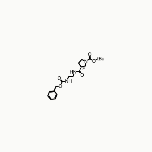 CC(C)(C)OC(=O)N1CC[C@H](C(=O)NCCNC(=O)OCc2ccccc2)C1